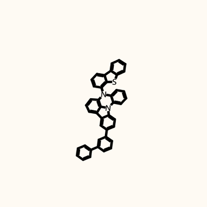 c1ccc(-c2cccc(-c3ccc4c(c3)c3cccc5c3n4-c3ccccc3N5c3cccc4c3sc3ccccc34)c2)cc1